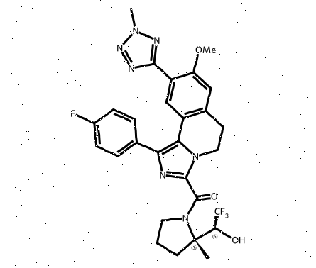 COc1cc2c(cc1-c1nnn(C)n1)-c1c(-c3ccc(F)cc3)nc(C(=O)N3CCC[C@@]3(C)[C@H](O)C(F)(F)F)n1CC2